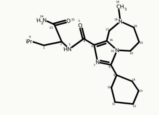 CC(C)CC(NC(=O)c1nc(C2CCCCC2)n2c1CN(C)CCC2)C(N)=O